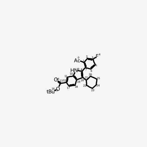 CC(=O)c1cc(F)ccc1-c1[nH]c2cc(C(=O)OC(C)(C)C)ccc2c1C1CCCCC1